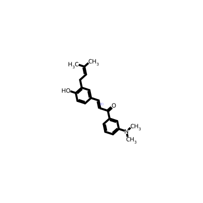 CC(C)=CCc1cc(/C=C/C(=O)c2cccc(N(C)C)c2)ccc1O